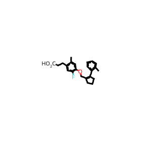 Cc1cc(OCC2=C(c3ccccc3C)CCC2)c(F)cc1CCC(=O)O